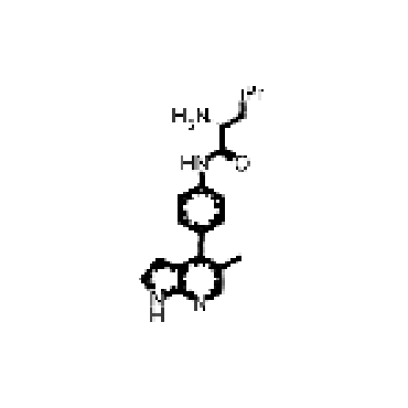 Cc1cnc2[nH]ccc2c1-c1ccc(NC(=O)[C@H](N)CC(C)C)cc1